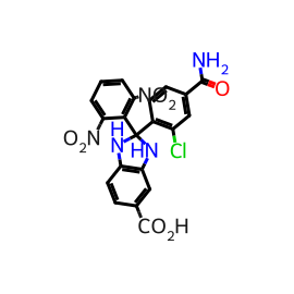 NC(=O)c1ccc(C2(c3c([N+](=O)[O-])cccc3[N+](=O)[O-])Nc3ccc(C(=O)O)cc3N2)c(Cl)c1